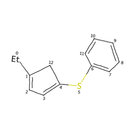 CCC1=CC=C(Sc2ccccc2)C1